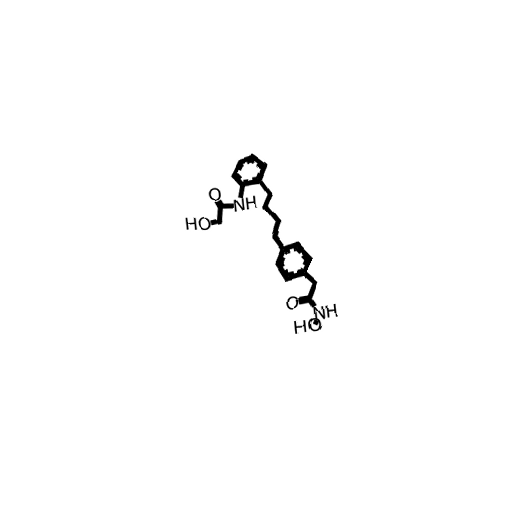 O=C(Cc1ccc(CCCCc2ccccc2NC(=O)CO)cc1)NO